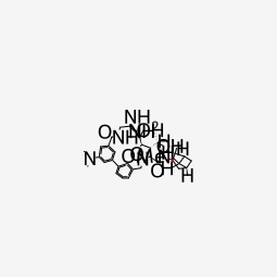 COc1c(CN2O[C@@H](CO)[C@H]([C@H](C)O)[C@H]2C(=O)N[C@H]2C[C@H]3C[C@@H]([C@@H]2C)C3(C)C)cccc1-c1cc(C(=O)NCC(=N)N)cc(N(C)C)c1